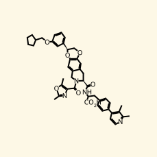 Cc1nc(C(=O)N2Cc3cc4c(cc3C[C@H]2C(=O)NC(Cc2ccc(-c3ccnc(C)c3C)cc2)C(=O)O)OC[C@H](c2cccc(OCC3CCCC3)c2)O4)c(C)o1